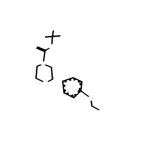 CCNc1ccc([C@H]2CN(C(=O)OC(C)(C)C)CCO2)cc1